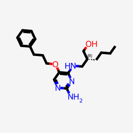 CCCC[C@@H](CO)CNc1nc(N)ncc1OCCCc1ccccc1